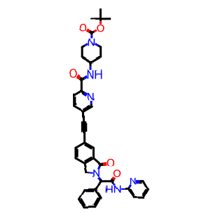 CC(C)(C)OC(=O)N1CCC(NC(=O)c2ccc(C#Cc3ccc4c(c3)C(=O)N(C(C(=O)Nc3ccccn3)c3ccccc3)C4)cn2)CC1